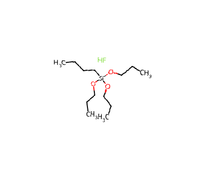 CCCC[Si](OCCC)(OCCC)OCCC.F